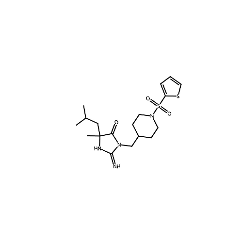 CC(C)CC1(C)NC(=N)N(CC2CCN(S(=O)(=O)c3cccs3)CC2)C1=O